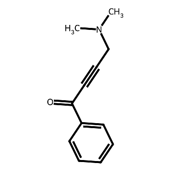 CN(C)CC#CC(=O)c1ccccc1